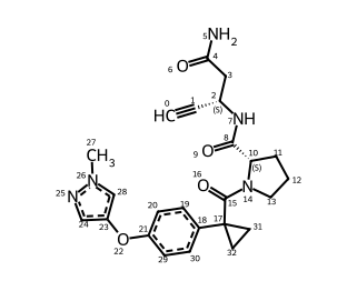 C#C[C@H](CC(N)=O)NC(=O)[C@@H]1CCCN1C(=O)C1(c2ccc(Oc3cnn(C)c3)cc2)CC1